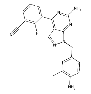 Cc1cc(Cn2ncc3c(-c4cccc(C#N)c4F)nc(N)nc32)ccc1N